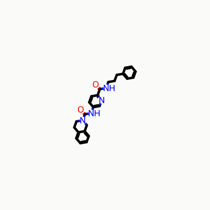 O=C(NCCCc1ccccc1)c1ccc(NC(=O)N2CCc3ccccc3C2)cn1